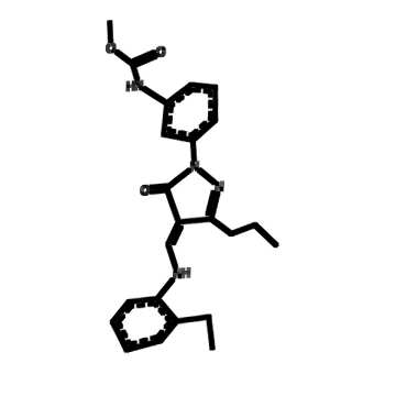 CCCC1=NN(c2cccc(NC(=O)OC)c2)C(=O)/C1=C/Nc1ccccc1CC